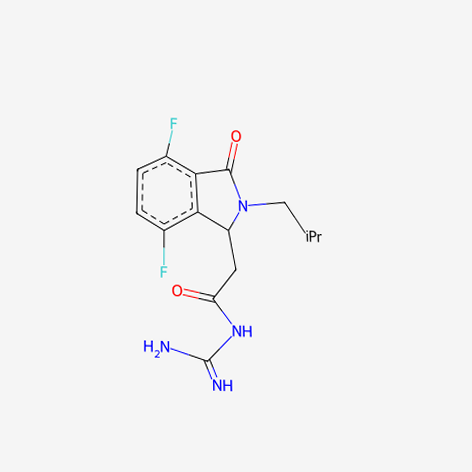 CC(C)CN1C(=O)c2c(F)ccc(F)c2C1CC(=O)NC(=N)N